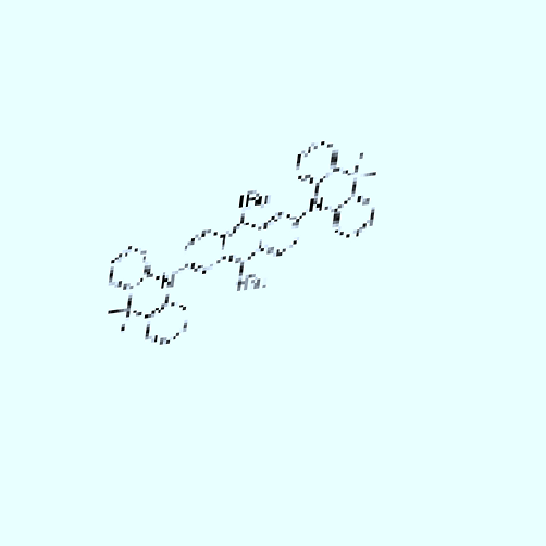 CC(C)(C)c1c2ccc(N3c4ccccc4C(C)(C)c4ccccc43)cc2c(C(C)(C)C)c2ccc(N3C4=C(C=CCC4)C(C)(C)c4ccccc43)cc12